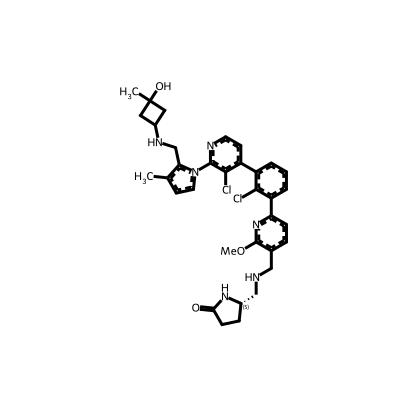 COc1nc(-c2cccc(-c3ccnc(-n4ccc(C)c4CNC4CC(C)(O)C4)c3Cl)c2Cl)ccc1CNC[C@@H]1CCC(=O)N1